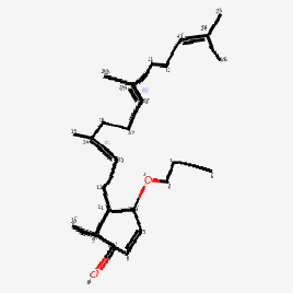 CCCOC1C=CC(=O)C(C)C1C/C=C(\C)CC/C=C(\C)CCC=C(C)C